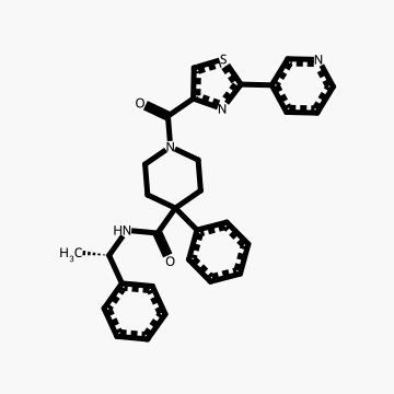 C[C@H](NC(=O)C1(c2ccccc2)CCN(C(=O)c2csc(-c3cccnc3)n2)CC1)c1ccccc1